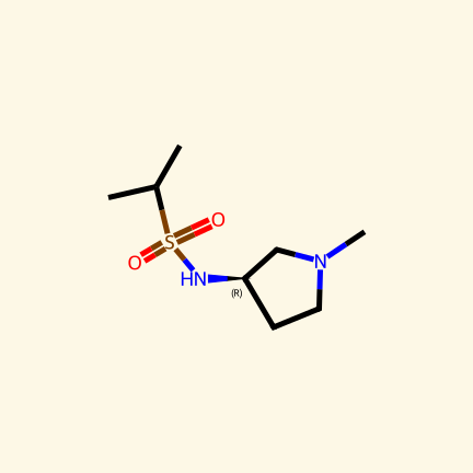 CC(C)S(=O)(=O)N[C@@H]1CCN(C)C1